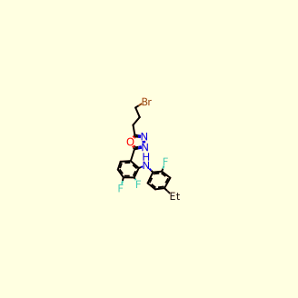 CCc1ccc(Nc2c(-c3nnc(CCCBr)o3)ccc(F)c2F)c(F)c1